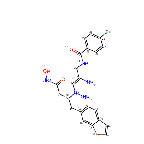 N/C(=C\N(N)[C@@H](CC(=O)NO)Cc1ccc2ccsc2c1)CNC(=O)c1ccc(F)cc1